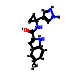 Cn1cc(C2(NC(=O)c3cc4cc(C#N)ccc4[nH]3)CC2)cn1